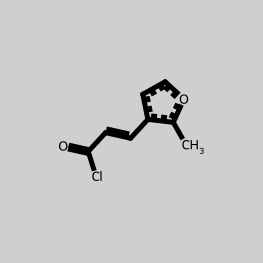 Cc1occc1C=CC(=O)Cl